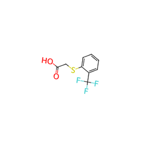 O=C(O)CSc1ccccc1C(F)(F)F